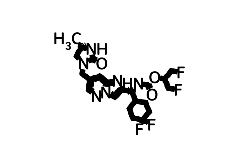 C[C@@H]1CN(Cc2cnn3cc([C@@H](NC(=O)OC(CF)CF)C4CCC(F)(F)CC4)nc3c2)C(=O)N1